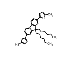 CCCCCCC1(CCCCCC)c2cc(-c3ccc(C)o3)ccc2-c2ccc(-c3ccc(S)o3)cc21